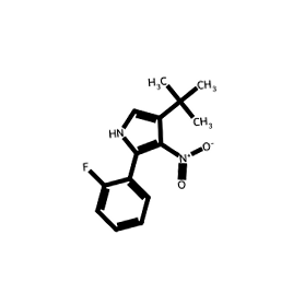 CC(C)(C)c1c[nH]c(-c2ccccc2F)c1[N+](=O)[O-]